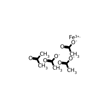 CC(=O)[O-].CC(=O)[O-].CC(=O)[O-].CC(C)=O.[Fe+3]